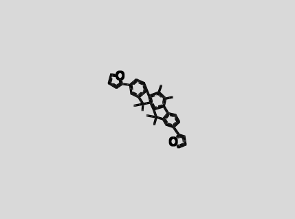 Cc1c(C)c2c(c3c1-c1ccc(-c4ccco4)cc1C3(C)C)C(C)(C)c1cc(-c3ccco3)ccc1-2